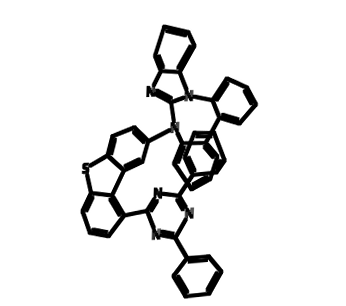 c1ccc(-c2nc(-c3ccccc3)nc(-c3cccc4sc5ccc(N6c7ccccc7-c7ccccc7-n7c6nc6ccccc67)cc5c34)n2)cc1